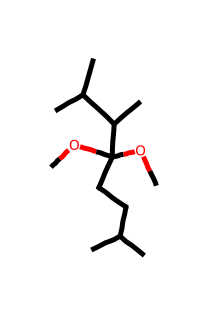 COC(CCC(C)C)(OC)C(C)C(C)C